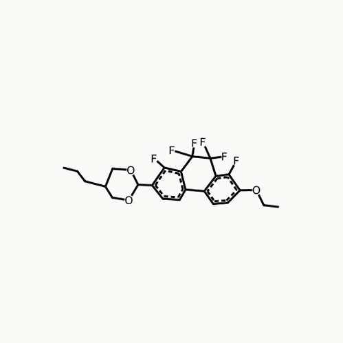 CCCC1COC(c2ccc3c(c2F)C(F)(F)C(F)(F)c2c-3ccc(OCC)c2F)OC1